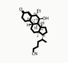 CC[C@H]1C2=CC(=O)CC[C@]2(C)[C@H]2CC[C@]3(C)[C@@H](C(C)CCCC#N)CC[C@H]3[C@@H]2[C@@H]1O